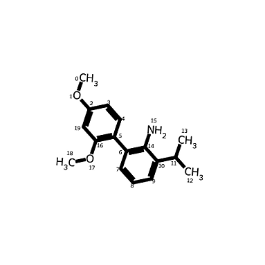 COc1ccc(-c2cccc(C(C)C)c2N)c(OC)c1